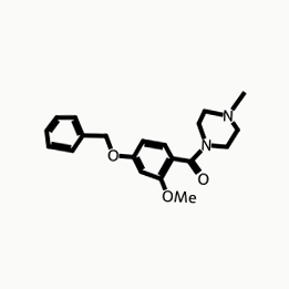 COc1cc(OCc2ccccc2)ccc1C(=O)N1CCN(C)CC1